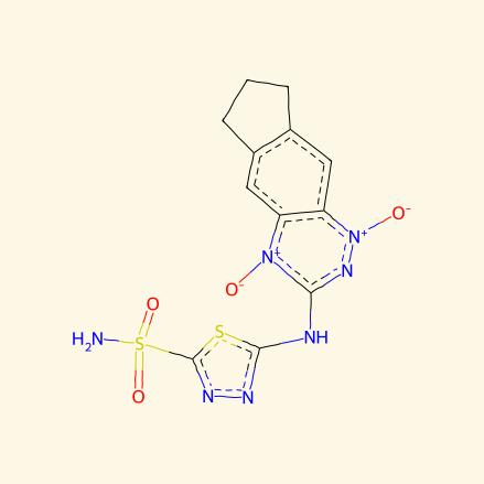 NS(=O)(=O)c1nnc(Nc2n[n+]([O-])c3cc4c(cc3[n+]2[O-])CCC4)s1